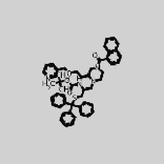 CC(C)(C)OC(=O)NC(CSC(c1ccccc1)(c1ccccc1)c1ccccc1)CN1CCN(C(=O)c2cccc3ccccc23)CC1CCOCc1cccnc1